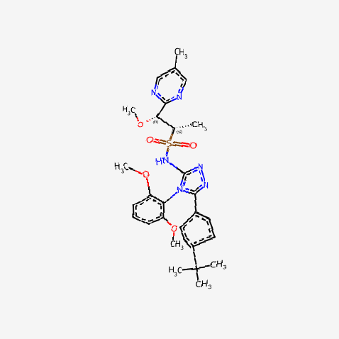 COc1cccc(OC)c1-n1c(NS(=O)(=O)[C@@H](C)[C@H](OC)c2ncc(C)cn2)nnc1-c1ccc(C(C)(C)C)cc1